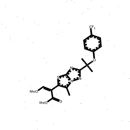 CO/C=C(\C(=O)OC)c1sc2nc(C(C)(C)Oc3ccc(C(F)(F)F)cc3)nn2c1C